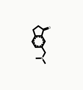 CN(C)Cc1ccc2c(c1)C(=O)CC2